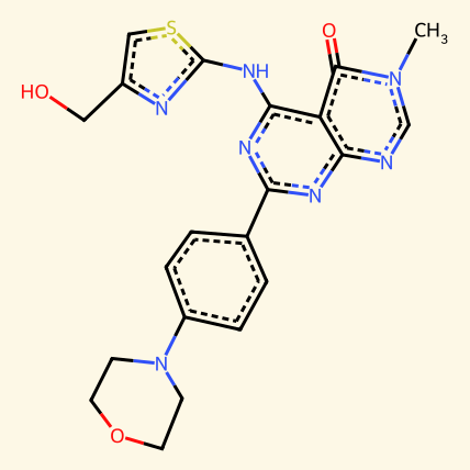 Cn1cnc2nc(-c3ccc(N4CCOCC4)cc3)nc(Nc3nc(CO)cs3)c2c1=O